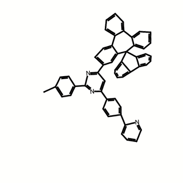 Cc1ccc(-c2nc(-c3ccc(-c4ccccn4)cc3)cc(-c3ccc4c(c3)C3(c5ccccc5-c5ccccc5-4)c4ccccc4-c4ccccc43)n2)cc1